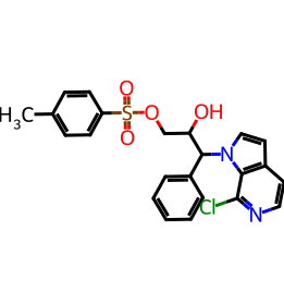 Cc1ccc(S(=O)(=O)OCC(O)C(c2ccccc2)n2ccc3ccnc(Cl)c32)cc1